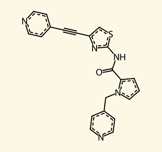 O=C(Nc1nc(C#Cc2ccncc2)cs1)c1cccn1Cc1ccncc1